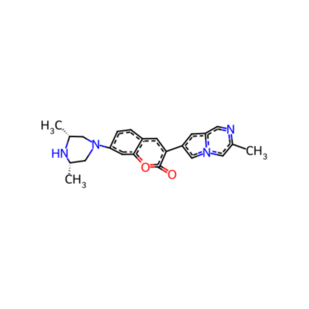 Cc1cn2cc(-c3cc4ccc(N5C[C@@H](C)N[C@@H](C)C5)cc4oc3=O)cc2cn1